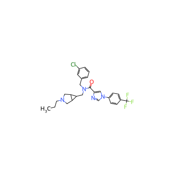 CCCN1CC2C(C1)C2CN(Cc1cccc(Cl)c1)C(=O)c1cn(-c2ccc(C(F)(F)F)cc2)cn1